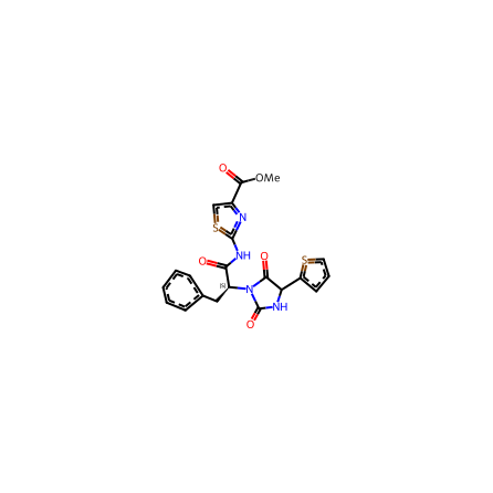 COC(=O)c1csc(NC(=O)[C@H](Cc2ccccc2)N2C(=O)NC(c3cccs3)C2=O)n1